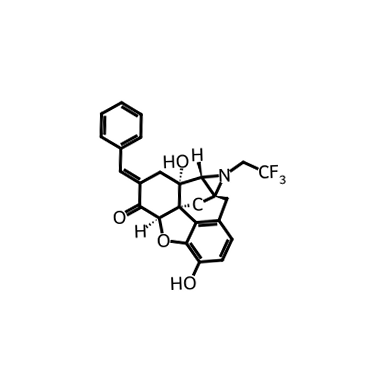 O=C1/C(=C/c2ccccc2)C[C@@]2(O)[C@@H]3N(CC(F)(F)F)[C@@]34Cc3ccc(O)c5c3[C@@]2(C4)[C@H]1O5